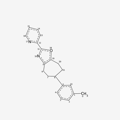 Cc1cccc(C2CCc3nc(-c4ccccn4)oc3CC2)c1